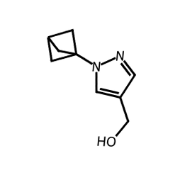 OCc1cnn(C23CC(C2)C3)c1